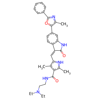 CCN(CC)CCNC(=O)c1c(C)[nH]c(/C=C2\C(=O)Nc3cc(-c4oc(-c5ccccc5)nc4C)ccc32)c1C